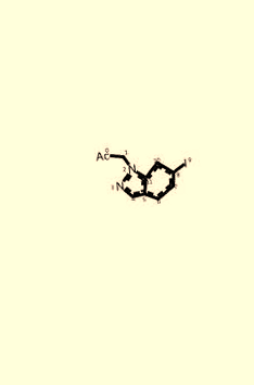 CC(=O)Cn1ncc2ccc(I)cc21